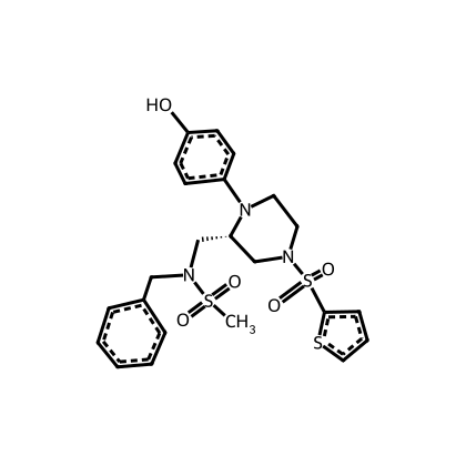 CS(=O)(=O)N(Cc1ccccc1)C[C@H]1CN(S(=O)(=O)c2cccs2)CCN1c1ccc(O)cc1